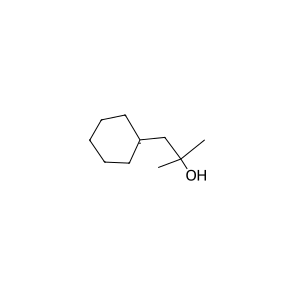 CC(C)(O)C[C]1CCCCC1